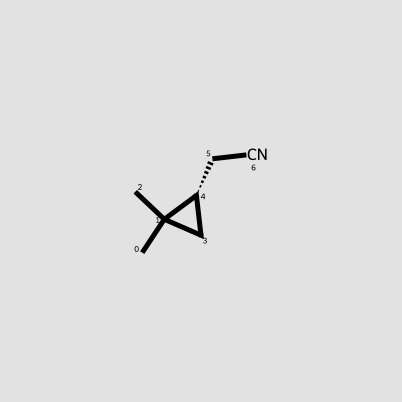 CC1(C)C[C@H]1CC#N